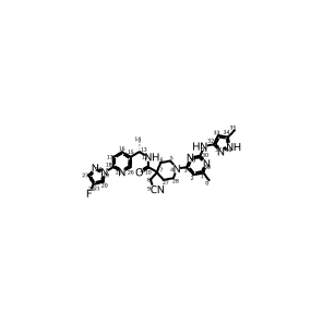 Cc1cc(N2CCC(CC#N)(C(=O)N[C@@H](C)c3ccc(-n4cc(F)cn4)nc3)CC2)nc(Nc2cc(C)[nH]n2)n1